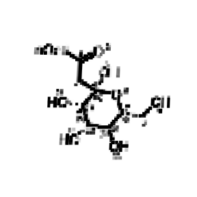 CCCCCCCCC(=O)C[C@@]1(O)O[C@H](CO)[C@@H](O)[C@H](O)[C@@H]1O